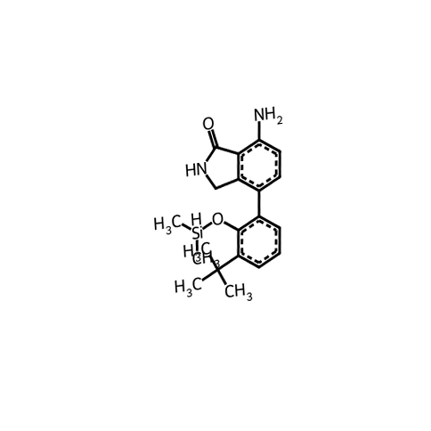 C[SiH](C)Oc1c(-c2ccc(N)c3c2CNC3=O)cccc1C(C)(C)C